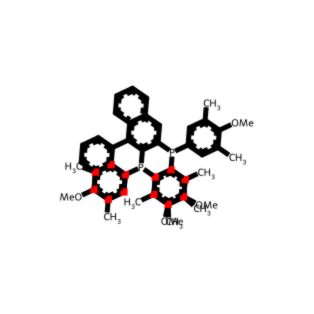 COc1c(C)cc(P(c2cc(C)c(OC)c(C)c2)c2cc3ccccc3c(-c3cccc4ccccc34)c2P(c2cc(C)c(OC)c(C)c2)c2cc(C)c(OC)c(C)c2)cc1C